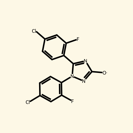 [O]c1nc(-c2ccc(Cl)cc2F)n(-c2ccc(Cl)cc2F)n1